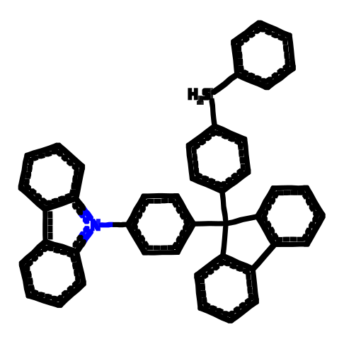 c1ccc([SiH2]c2ccc(C3(c4ccc(-n5c6ccccc6c6ccccc65)cc4)c4ccccc4-c4ccccc43)cc2)cc1